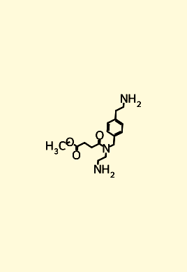 COC(=O)CCC(=O)N(CCN)Cc1ccc(CCN)cc1